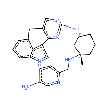 C[C@]1(NCc2ccc(N)cn2)CCC[C@@H](Nc2ncc3c(n2)-c2c[nH]c4cccc(c24)C3)C1